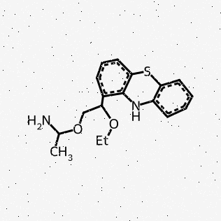 CCOC(COC(C)N)c1cccc2c1Nc1ccccc1S2